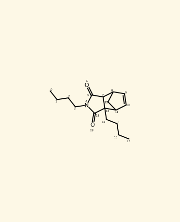 CCCCN1C(=O)C2C3C=CC(C3)C2(CCCC)C1=O